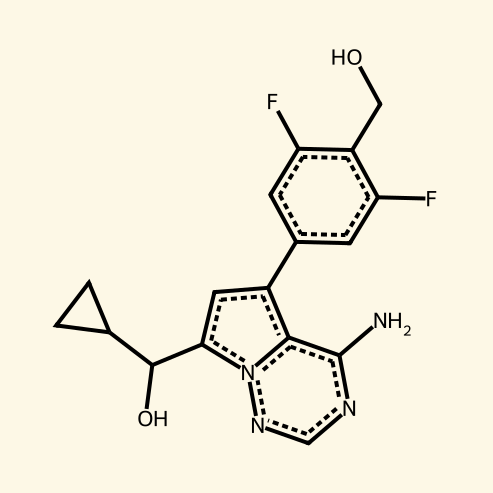 Nc1ncnn2c(C(O)C3CC3)cc(-c3cc(F)c(CO)c(F)c3)c12